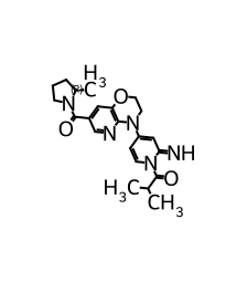 CC(C)C(=O)n1ccc(N2CCOc3cc(C(=O)N4CCC[C@H]4C)cnc32)cc1=N